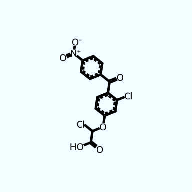 O=C(c1ccc([N+](=O)[O-])cc1)c1ccc(OC(Cl)C(=O)O)cc1Cl